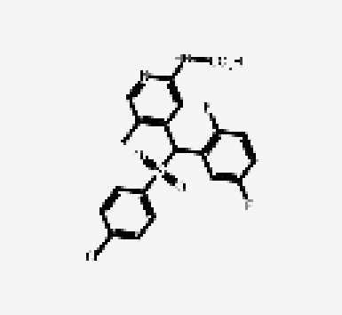 Cc1cnc(NC(=O)O)cc1C(c1cc(F)ccc1F)S(=O)(=O)c1ccc(Cl)cc1